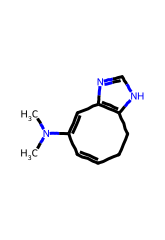 CN(C)/C1=C/c2nc[nH]c2CCC=C1